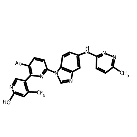 CC(=O)c1ccc(-n2cnc3cc(Nc4ccc(C)nn4)ccc32)nc1-c1cnc(O)cc1C(F)(F)F